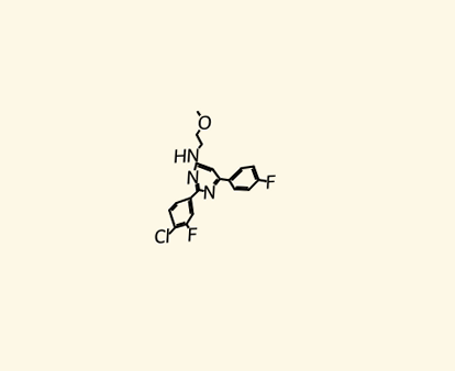 COCCNc1cc(-c2ccc(F)cc2)nc(-c2ccc(Cl)c(F)c2)n1